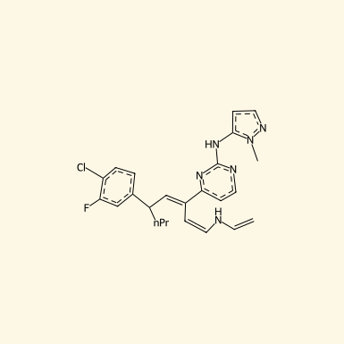 C=CN/C=C\C(=C/C(CCC)c1ccc(Cl)c(F)c1)c1ccnc(Nc2ccnn2C)n1